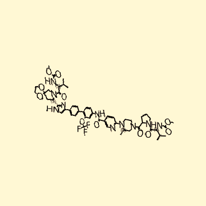 COC(=O)N[C@H](C(=O)N1CCCC1C(=O)N1CCN(c2ccc(C(=O)Nc3ccc(-c4ccc(-c5c[nH]c([C@@H]6CC7(CN6C(=O)[C@@H](NC(=O)OC)C(C)C)OCCO7)n5)cc4)c(OC(F)(F)F)c3)cn2)[C@H](C)C1)C(C)C